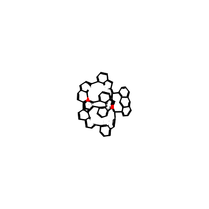 c1cc(-c2c3cc4cccc(c5ccc6ccc7ccc(nc7c6n5)c5cccc6cc2[nH]c65)c4n3)c2cc3c(-c4c5cc6cccc(c7ccc8ccc9ccc(nc9c8n7)c7cccc8cc4[nH]c87)c6n5)cccc3cc2c1